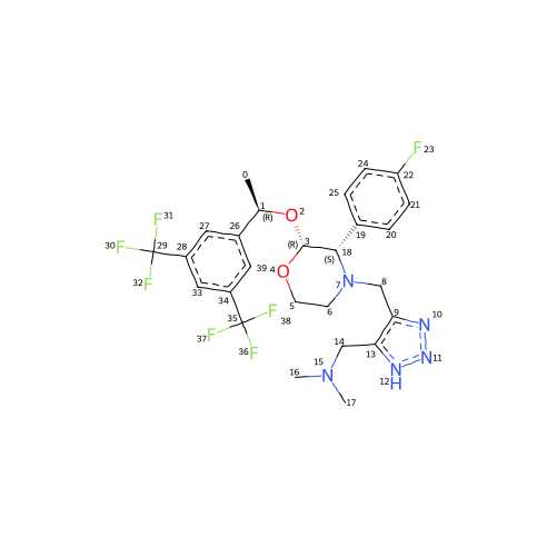 C[C@@H](O[C@H]1OCCN(Cc2nn[nH]c2CN(C)C)[C@H]1c1ccc(F)cc1)c1cc(C(F)(F)F)cc(C(F)(F)F)c1